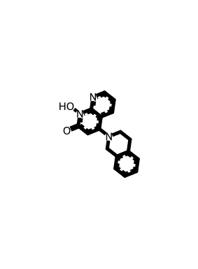 O=c1cc(N2CCc3ccccc3C2)c2cccnc2n1O